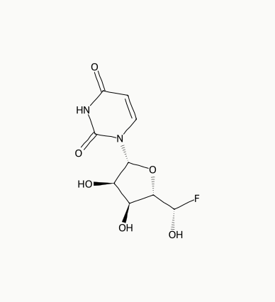 O=c1ccn([C@@H]2O[C@H]([C@@H](O)F)[C@@H](O)[C@H]2O)c(=O)[nH]1